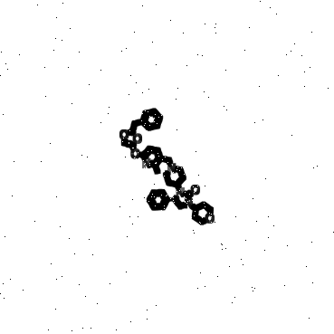 Cc1nc(OC2=COC(Cc3ccccc3)O2)ccc1CN1CCC(N2C(=O)N(C3CCOCC3)C[C@H]2c2ccccc2)CC1